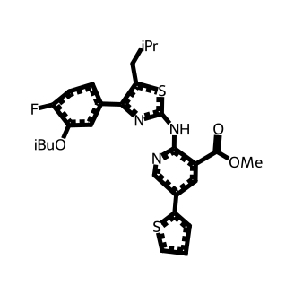 COC(=O)c1cc(-c2cccs2)cnc1Nc1nc(-c2ccc(F)c(OCC(C)C)c2)c(CC(C)C)s1